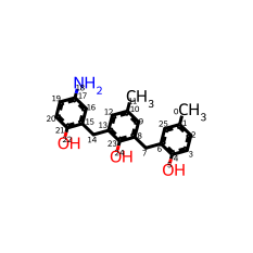 Cc1ccc(O)c(Cc2cc(C)cc(Cc3cc(N)ccc3O)c2O)c1